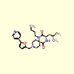 CCCCN1C(=O)C(CC(C)C)NC(=O)C12CCN(Cc1ccc(-c3ccncc3)o1)CC2